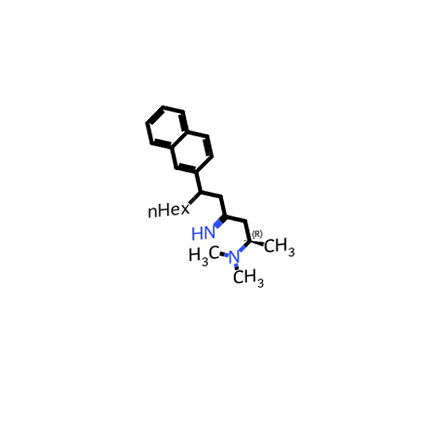 CCCCCCC(CC(=N)C[C@@H](C)N(C)C)c1ccc2ccccc2c1